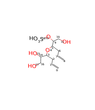 C=CCC(OC(CC=C)C(CO)OS(=O)(=O)O)C(O)CO